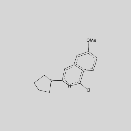 COc1ccc2c(Cl)nc(N3CCCC3)cc2c1